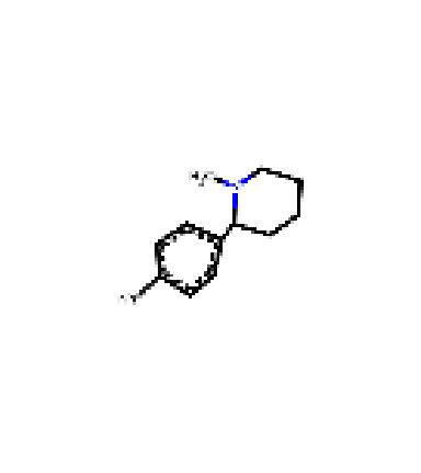 [CH2]CCc1ccc(C2CCCCN2C)cc1